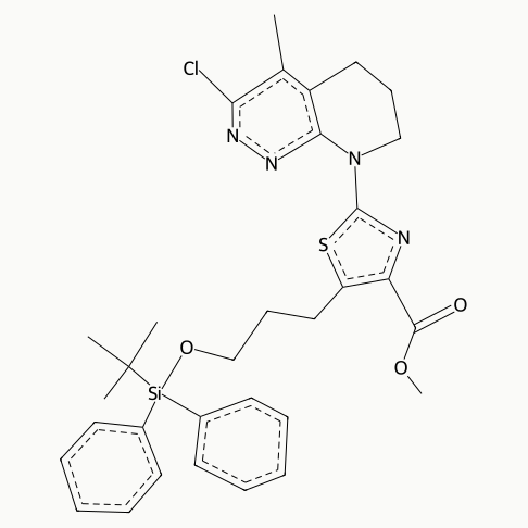 COC(=O)c1nc(N2CCCc3c2nnc(Cl)c3C)sc1CCCO[Si](c1ccccc1)(c1ccccc1)C(C)(C)C